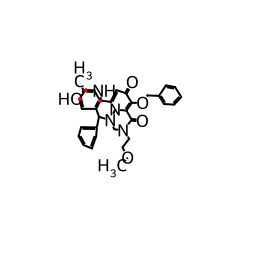 COCCN1CN(C(c2ccccc2)c2ccccc2)n2c(CNC(C)O)cc(=O)c(OCc3ccccc3)c2C1=O